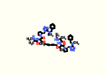 CN[C@@H](C)C(=O)NC(C(=O)N1CCC[C@H]1Cn1nnnc1N(C)Cc1ccccc1)[C@@H](C)OCC#CC#CCO[C@H](C)C(NC(=O)[C@H](C)NC)C(=O)N1CCC[C@H]1Cn1nnnc1N(C)Cc1ccccc1